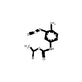 Cc1ccc(NC(=O)OC(C)Br)cc1N=C=O